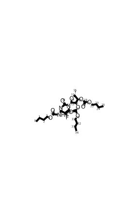 CCCCOC(=O)Nc1nc(=O)n([C@@H]2O[C@H](C)[C@@H](OC(=O)OCCCC)[C@H]2OC(=O)OCCCC)cc1F